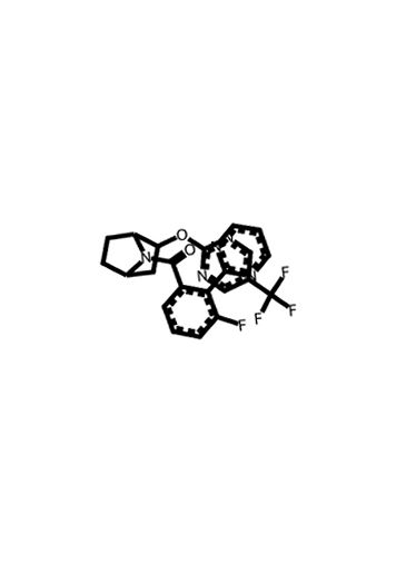 O=C(c1cccc(F)c1-c1ncccn1)N1C2CCC1C(Oc1ncc(C(F)(F)F)cn1)C2